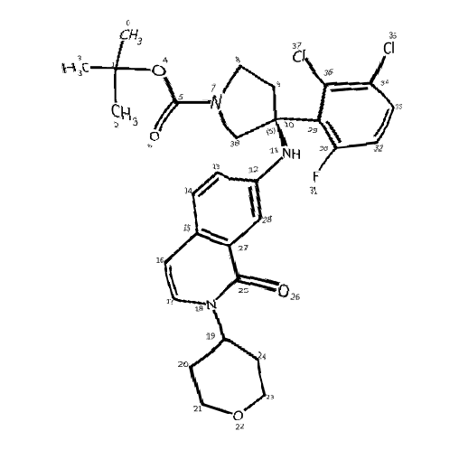 CC(C)(C)OC(=O)N1CC[C@](Nc2ccc3ccn(C4CCOCC4)c(=O)c3c2)(c2c(F)ccc(Cl)c2Cl)C1